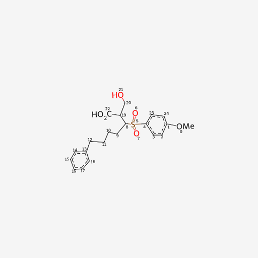 COc1ccc(S(=O)(=O)C(CCCCc2ccccc2)C(CO)C(=O)O)cc1